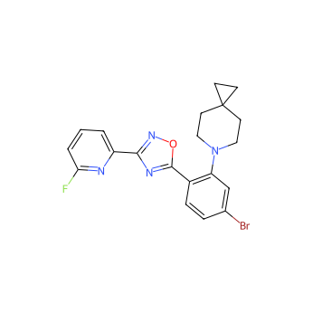 Fc1cccc(-c2noc(-c3ccc(Br)cc3N3CCC4(CC3)CC4)n2)n1